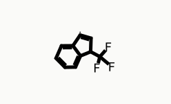 FC(F)(F)C1C=[C]c2ccccc21